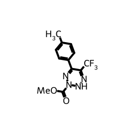 COC(=O)N1N=C(c2ccc(C)cc2)C(C(F)(F)F)=NN1